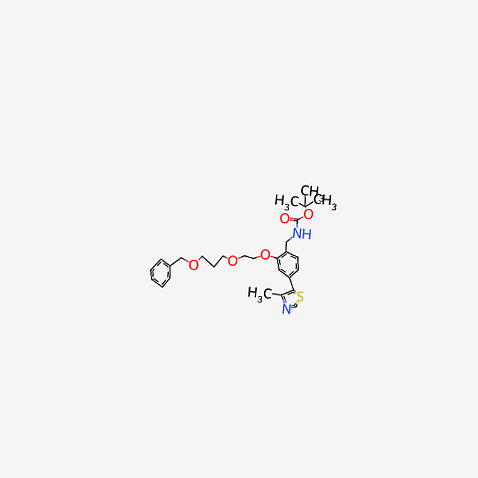 Cc1ncsc1-c1ccc(CNC(=O)OC(C)(C)C)c(OCCOCCCOCc2ccccc2)c1